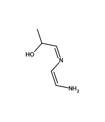 CC(O)/C=N\C=C/N